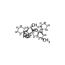 Cc1cc(Cc2cc(C)cc(C3(C)CCCCC3)c2O)c(O)c(C2CCCCC2)c1